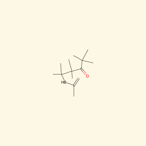 C=C(C)BC(C)(C)C(C)(C)C(=O)C(C)(C)C